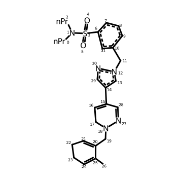 CCCN(CCC)S(=O)(=O)c1cccc(Cn2cc(C3=CCN(CC4=CCCC=C4C)N=C3)cn2)c1